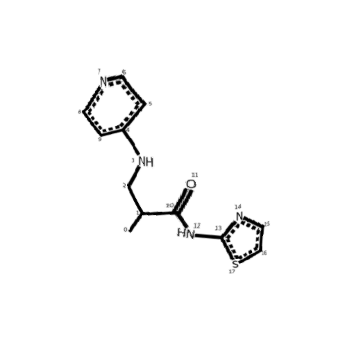 CC(CNc1ccncc1)C(=O)Nc1nccs1